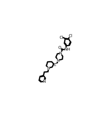 O=C(Nc1ccc(Cl)c(Cl)c1)N1CCN(C[C@@H]2CCCN(CCc3cccnc3)C2)CC1